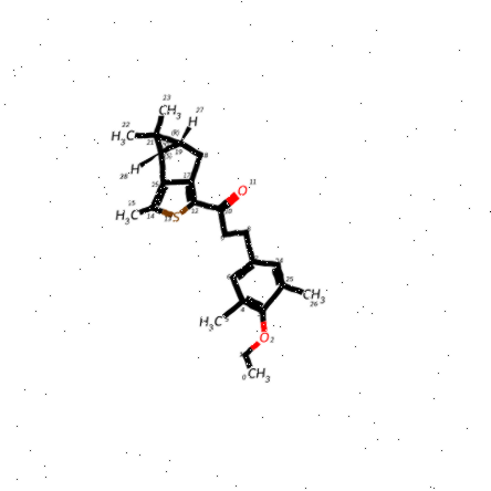 CCOc1c(C)cc(CCC(=O)c2sc(C)c3c2C[C@@H]2[C@H]3C2(C)C)cc1C